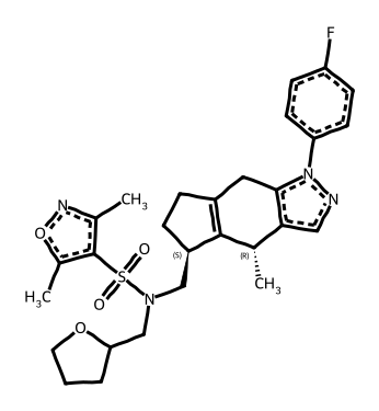 Cc1noc(C)c1S(=O)(=O)N(CC1CCCO1)C[C@H]1CCC2=C1[C@@H](C)c1cnn(-c3ccc(F)cc3)c1C2